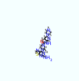 Cc1cc(N2CCN(C)CC2)ncc1NC(=O)N1CCN(c2nc(N)nc3scnc23)C(C)C1